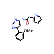 COc1ccccc1-c1cc(NC(=O)Cc2ccccn2)ncn1